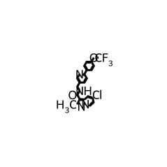 Cc1nn2ccc(Cl)cc2c1C(=O)NCc1ccc(-c2ccc(OC(F)(F)F)cc2)nc1